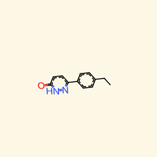 CCc1ccc(-c2ccc(=O)[nH]n2)cc1